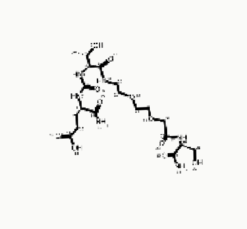 C[C@H](O)[C@H](NC(=O)N[C@H](CCC(=O)O)C(N)=O)C(=O)NCCOCCOCC(=O)N[C@@H](CO)C(N)=O